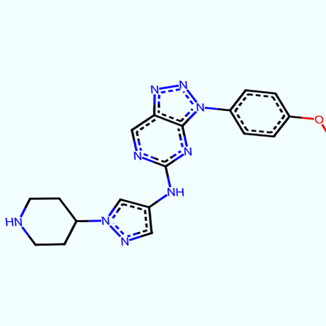 COc1ccc(-n2nnc3cnc(Nc4cnn(C5CCNCC5)c4)nc32)cc1